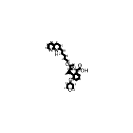 O=C(O)C(c1cccc(OC2CCOCC2)c1C1CC1)N1CC(OCCCCCC2CCc3cccnc3N2)C1